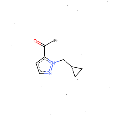 CC(C)C(=O)c1ccnn1CC1CC1